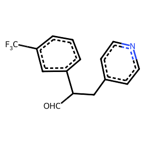 O=CC(Cc1ccncc1)c1cccc(C(F)(F)F)c1